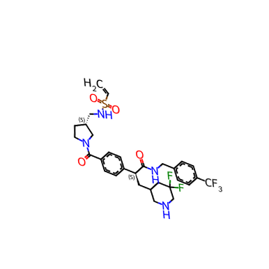 C=CS(=O)(=O)NC[C@H]1CCN(C(=O)c2ccc([C@H](CC3CNCC(F)(F)C3)C(=O)NCc3ccc(C(F)(F)F)cc3)cc2)C1